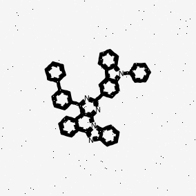 c1ccc(-c2cccc(-c3nc(-c4ccc5c(c4)c4ccccc4n5-c4ccccc4)nc4c3c3ccccc3c3nc5ccccc5n34)c2)cc1